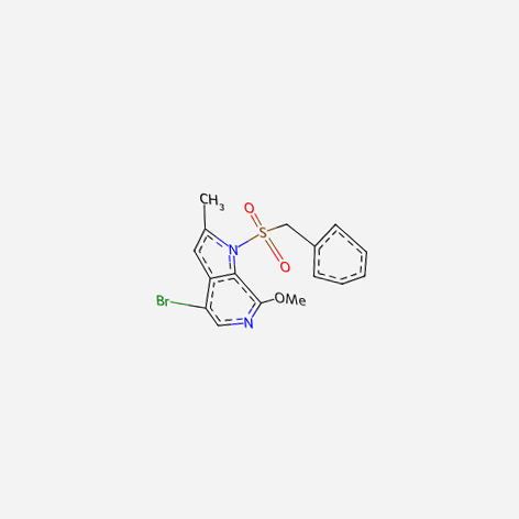 COc1ncc(Br)c2cc(C)n(S(=O)(=O)Cc3ccccc3)c12